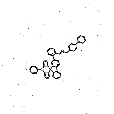 C(=N\Cc1ccc(-c2ccccc2)cc1)/c1ccccc1-c1ccc2c(c1)C1(c3ccccc3-2)c2ccccc2N(c2ccccc2)c2ccccc21